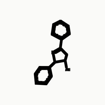 CC(=O)C1CC(c2ccccc2)=NC1c1ccccc1